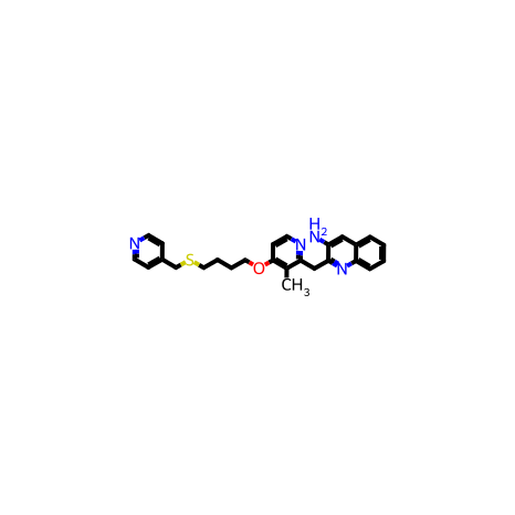 Cc1c(OCCCCSCc2ccncc2)ccnc1Cc1nc2ccccc2cc1N